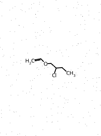 C=COCC(Cl)CC